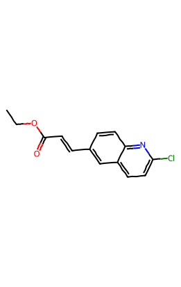 CCOC(=O)/C=C/c1ccc2nc(Cl)ccc2c1